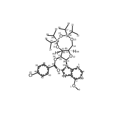 COc1ncnc2c1ncn2[C@@H]1O[C@@H]2CO[Si](C(C)C)(C(C)C)O[Si](C(C)C)(C(C)C)O[C@H]2[C@@H]1OC(=O)c1ccc(Cl)cc1